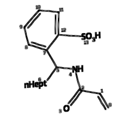 C=CC(=O)NC(CCCCCCC)c1ccccc1S(=O)(=O)O